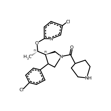 C[C@H](Oc1ccc(Cl)cn1)[C@H]1CN(C(=O)C2CCNCC2)CC1c1ccc(Cl)cc1